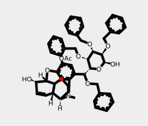 CC(=O)Oc1cc(C(OCc2ccccc2)[C@H]2O[C@H](O)[C@H](OCc3ccccc3)[C@@H](OCc3ccccc3)[C@H]2OCc2ccccc2)c2c3c1O[C@H]1[C@@H](O)C=C[C@H]4[C@@H](C2)N(C)CC[C@@]341